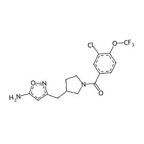 Nc1cc(CC2CCN(C(=O)c3ccc(OC(F)(F)F)c(Cl)c3)C2)no1